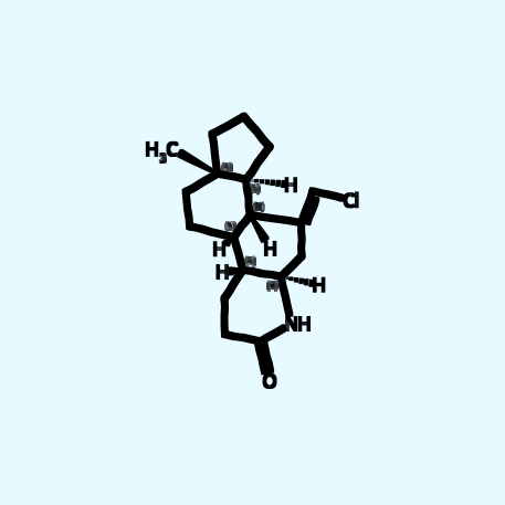 C[C@@]12CCC[C@H]1[C@@H]1C(=CCl)C[C@H]3NC(=O)CC[C@@H]3[C@H]1CC2